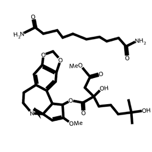 COC(=O)CC(O)(CCCC(C)(C)O)C(=O)OC1C(OC)=CC23CCCN2CCc2cc4c(cc2C13)OCO4.NC(=O)CCCCCCCCC(N)=O